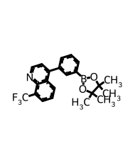 CC1(C)OB(c2cccc(-c3ccnc4c(C(F)(F)F)cccc34)c2)OC1(C)C